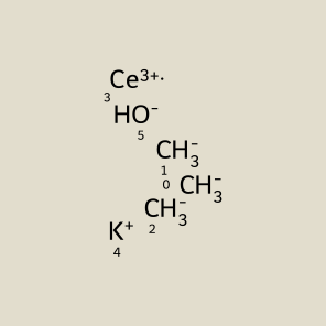 [CH3-].[CH3-].[CH3-].[Ce+3].[K+].[OH-]